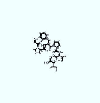 CCC(C)C(NC(=O)C(NC(=O)C1CCCN1C(=O)C(Cc1ccccc1)NC(=O)C1CCCN1C(=O)CN)C(C)C)C(=O)O